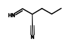 CCCC(C#N)C=N